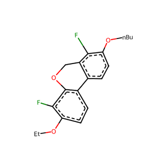 CCCCOc1ccc2c(c1F)COc1c-2ccc(OCC)c1F